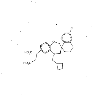 O=C(O)C[C@H](C(=O)O)c1ccc2c(c1)N(CC1CCC1)C[C@@]1(CCCc3cc(Cl)ccc31)CO2